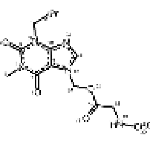 CC(C)Cn1c(=O)n(C)c(=O)c2c1ncn2COC(=O)CNC=O